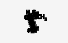 Cc1nc(C)c(-c2ccc(=O)n(CC3CCN(Cc4cc(F)ccc4F)CC3)n2)s1